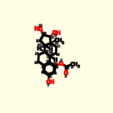 CC(=O)Oc1cc(O)cc2c1[C@H]1CC[C@]3(C)[C@@H](O)[C@H](O)C[C@H]3[C@@H]1CC2